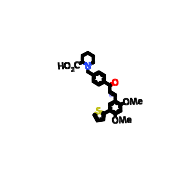 COc1cc(OC)c(-c2cccs2)cc1/C=C/C(=O)c1ccc(CN2CCCCC2C(=O)O)cc1